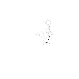 Fc1cnc(Cl)c(-c2nc3cnc(NCc4ccc(F)c(F)c4)nc3n2C[C@H]2CCCNC2)c1